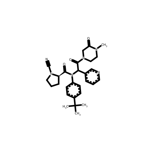 CN1CCN(C(=O)C(c2cccnc2)N(C(=O)[C@H]2CCCN2C#N)c2ccc(C(C)(C)C)cc2)CC1=O